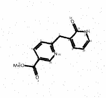 COC(=O)c1ccc(Cc2ccc[nH]c2=O)nc1